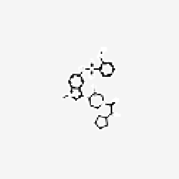 CCOc1ccccc1S(=O)(=O)Nc1ccc2c(c1)c([C@@H]1CCN(C(=O)[C@H](C)C3CCCC3)C[C@@H]1C)cn2C